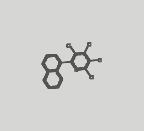 Clc1nc(-c2cccc3ccccc23)c(Cl)c(Cl)c1Cl